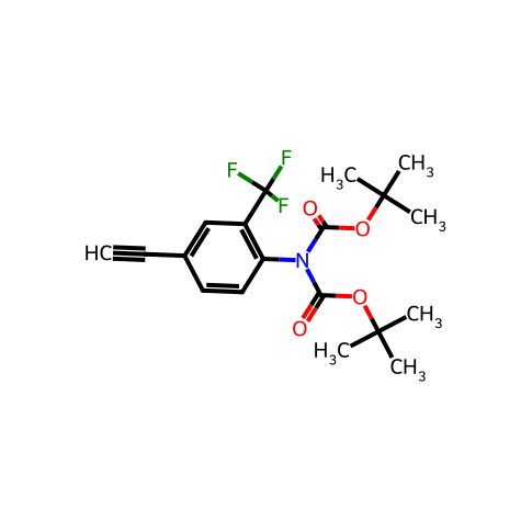 C#Cc1ccc(N(C(=O)OC(C)(C)C)C(=O)OC(C)(C)C)c(C(F)(F)F)c1